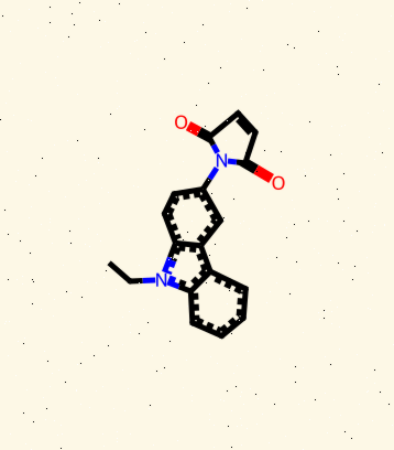 CCn1c2ccccc2c2cc(N3C(=O)C=CC3=O)ccc21